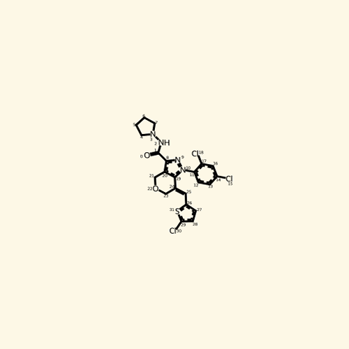 O=C(NN1CCCC1)c1nn(-c2ccc(Cl)cc2Cl)c2c1COC/C2=C\c1ccc(Cl)s1